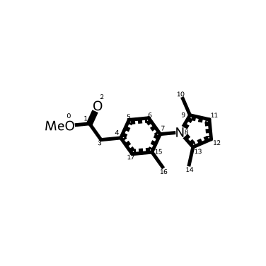 COC(=O)Cc1ccc(-n2c(C)ccc2C)c(C)c1